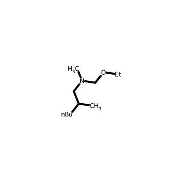 CCCCC(C)CN(C)COCC